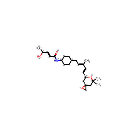 CC(C=C[C@@H]1C[C@]2(CO2)CC(C)(C)O1)=CCC1CCC(NC(=O)C=CC(C)O)CC1